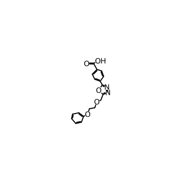 O=C(O)c1ccc(-c2nnc(COCCOc3ccccc3)o2)cc1